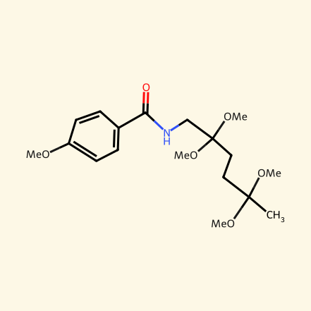 COc1ccc(C(=O)NCC(CCC(C)(OC)OC)(OC)OC)cc1